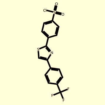 O=S(=O)(Cl)c1ccc(-c2nc(-c3ccc(C(F)(F)F)cc3)cs2)cc1